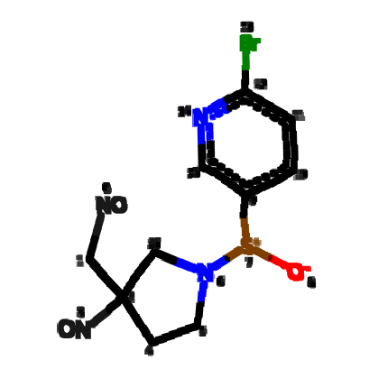 O=NCC1(N=O)CCN([S+]([O-])c2ccc(Br)nc2)C1